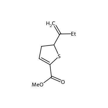 C=C(CC)C1CC=C(C(=O)OC)S1